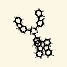 c1cc(-c2nc(-c3ccc4oc5ccccc5c4c3)nc(-c3ccc4oc5ccccc5c4c3)n2)cc(-c2cccc3c2C2(c4ccccc4-c4ccccc42)c2ccccc2-3)c1